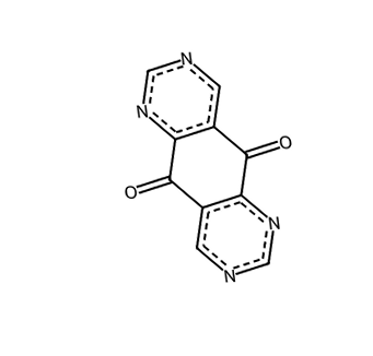 O=C1c2cncnc2C(=O)c2cncnc21